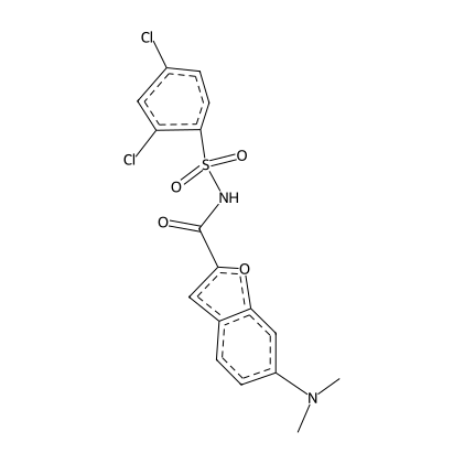 CN(C)c1ccc2cc(C(=O)NS(=O)(=O)c3ccc(Cl)cc3Cl)oc2c1